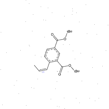 C/C=C\c1ccc(C(=O)OC(C)(C)C)cc1C(=O)OC(C)(C)C